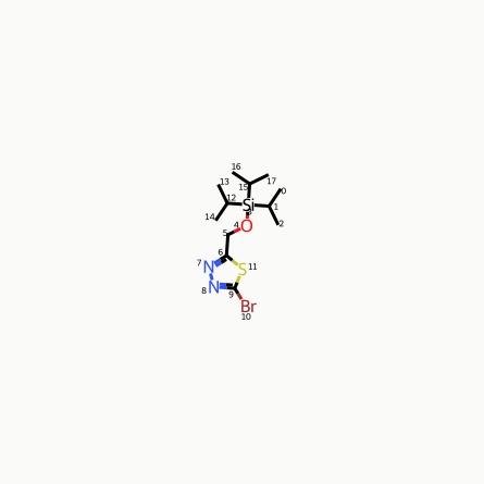 CC(C)[Si](OCc1nnc(Br)s1)(C(C)C)C(C)C